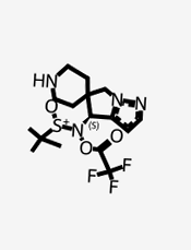 CC(C)(C)[S+]([O-])N(OC(=O)C(F)(F)F)[C@@H]1c2ccnn2CC12CCNCC2